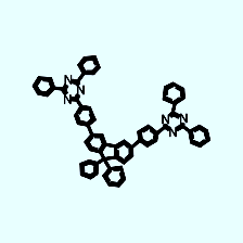 c1ccc(-c2nc(-c3ccccc3)nc(-c3ccc(-c4ccc5c(c4)-c4cc(-c6ccc(-c7nc(-c8ccccc8)nc(-c8ccccc8)n7)cc6)ccc4C5(c4ccccc4)c4ccccc4)cc3)n2)cc1